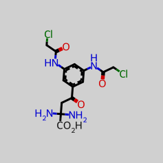 NC(N)(CC(=O)c1cc(NC(=O)CCl)cc(NC(=O)CCl)c1)C(=O)O